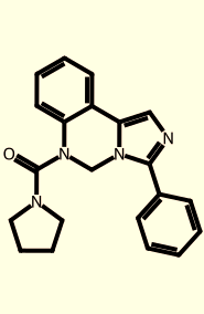 O=C(N1CCCC1)N1Cn2c(cnc2-c2ccccc2)-c2ccccc21